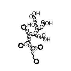 O=C(O)COCC(O)COC(COCC(=O)O)COC(COCC(=O)O)COC(COc1ccccc1)COC(COc1ccccc1)COC(COCCCc1ccccc1)COc1ccccc1